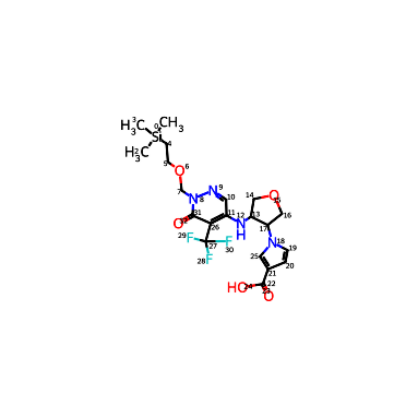 C[Si](C)(C)CCOCn1ncc(NC2COCC2n2ccc(C(=O)O)c2)c(C(F)(F)F)c1=O